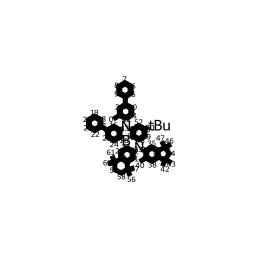 Cc1cc(-c2ccccc2)ccc1N1c2cc(-c3ccccc3)ccc2B2c3cc4c(cc3N(c3cc5c(cc3C)C(C)(C)CC5(C)C)c3cc(C(C)(C)C)cc1c32)C(C)(C)CCC4(C)C